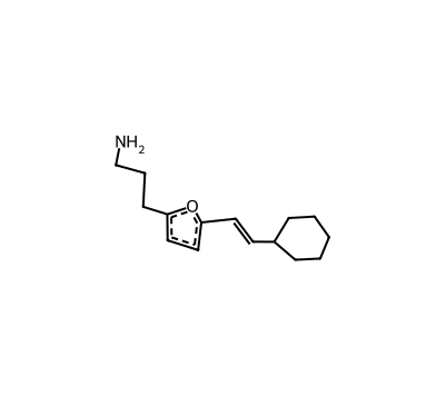 NCCCc1ccc(/C=C/C2CCCCC2)o1